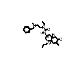 C=C1C[C@@H]2[C@@H](CC1=O)C[C@H](NC(=O)N(CC)CCN(C)Cc1ccccc1)CN2CCC